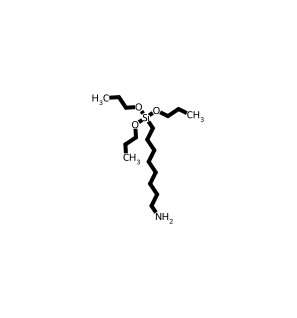 CCCO[Si](CCCCCCCCN)(OCCC)OCCC